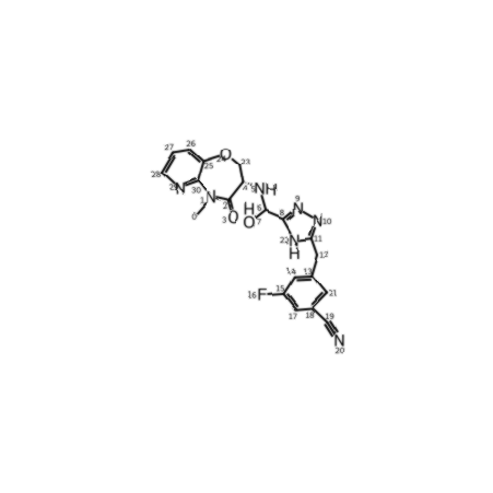 CN1C(=O)[C@@H](NC(O)c2nnc(Cc3cc(F)cc(C#N)c3)[nH]2)COc2cccnc21